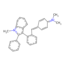 Cn1c(-c2ccccc2)c(-c2ccccc2C=C2C=CC(=[N+](C)C)C=C2)c2ccccc21